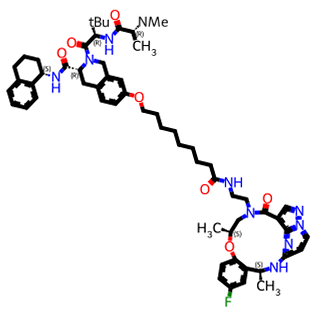 CN[C@H](C)C(=O)N[C@@H](C(=O)N1Cc2cc(OCCCCCCCCC(=O)NCCN3C[C@H](C)Oc4ccc(F)cc4[C@H](C)Nc4ccn5ncc(c5n4)C3=O)ccc2C[C@@H]1C(=O)N[C@H]1CCCc2ccccc21)C(C)(C)C